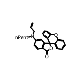 C=CCN(CCCCC)c1ccc2c(c1)C1(OC2=O)c2ccccc2Oc2ccccc21